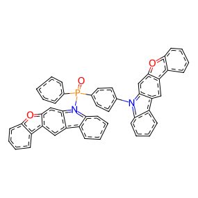 O=P(c1ccccc1)(c1ccc(-n2c3ccccc3c3cc4c(cc32)oc2ccccc24)cc1)n1c2ccccc2c2cc3c(cc21)oc1ccccc13